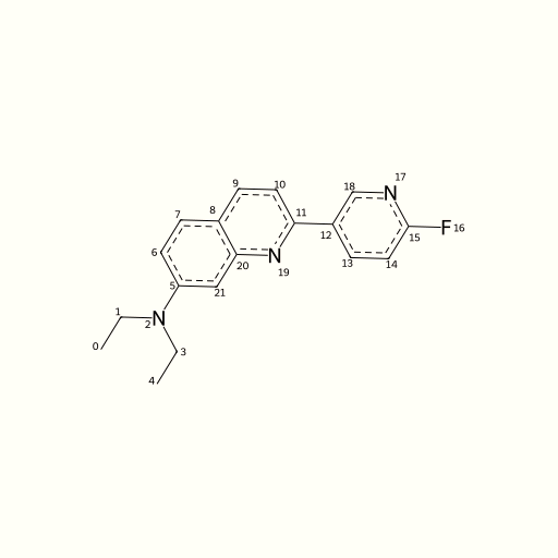 CCN(CC)c1ccc2ccc(-c3ccc(F)nc3)nc2c1